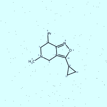 CC(C)C1CN(C)Cc2c1noc2C1CC1